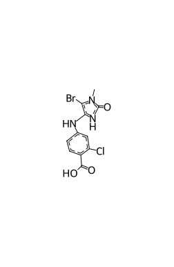 Cn1c(Br)c(Nc2ccc(C(=O)O)c(Cl)c2)[nH]c1=O